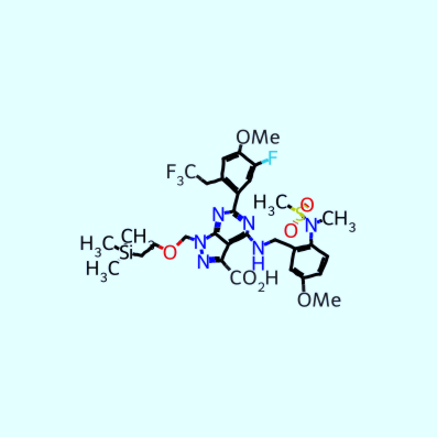 COc1ccc(N(C)S(C)(=O)=O)c(CNc2nc(-c3cc(F)c(OC)cc3CC(F)(F)F)nc3c2c(C(=O)O)nn3COCC[Si](C)(C)C)c1